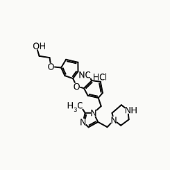 Cc1ncc(CN2CCNCC2)n1Cc1ccc(C#N)c(Oc2cccc(OCCO)c2)c1.Cl